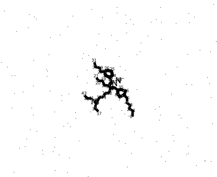 CCCCCCc1ccc(C2=C(CCCCC)C(CCCC)=C(c3cccc(CCCC)c3)[N+]2=[N-])cc1.CC[CH2][Ni][CH2]CC